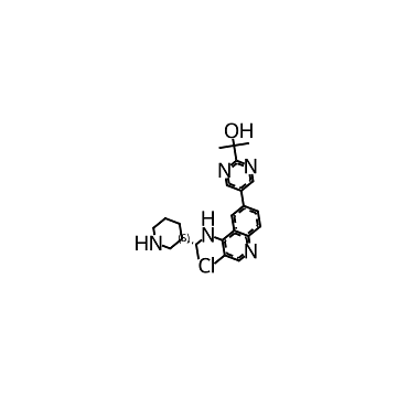 CC(Nc1c(Cl)cnc2ccc(-c3cnc(C(C)(C)O)nc3)cc12)[C@H]1CCCNC1